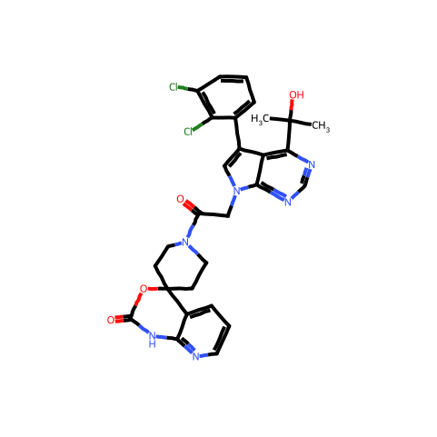 CC(C)(O)c1ncnc2c1c(-c1cccc(Cl)c1Cl)cn2CC(=O)N1CCC2(CC1)OC(=O)Nc1ncccc12